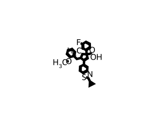 COc1ccccc1CC1CC(C(=O)O)(c2cccc(F)c2C)C=C1c1ccc2sc(C3CC3)nc2c1